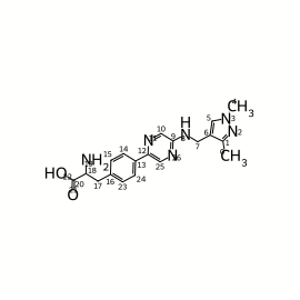 Cc1nn(C)cc1CNc1cnc(-c2ccc(CC(N)C(=O)O)cc2)cn1